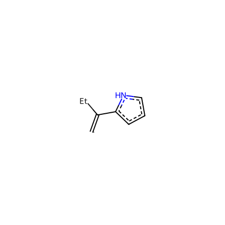 [CH]=C(CC)c1ccc[nH]1